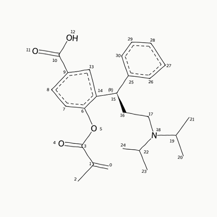 C=C(C)C(=O)Oc1ccc(C(=O)O)cc1[C@H](CCN(C(C)C)C(C)C)c1ccccc1